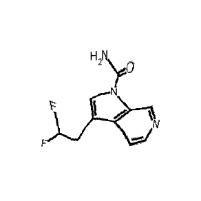 NC(=O)n1cc(CC(F)F)c2ccncc21